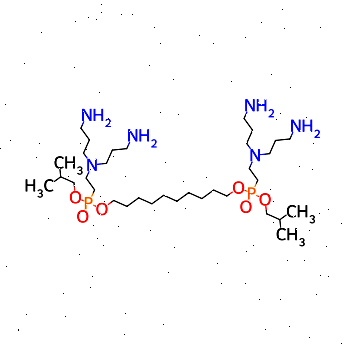 CC(C)COP(=O)(CCN(CCCN)CCCN)OCCCCCCCCCCOP(=O)(CCN(CCCN)CCCN)OCC(C)C